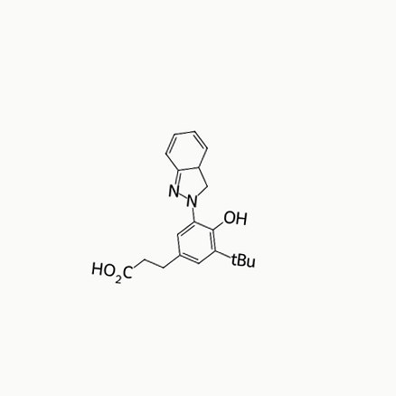 CC(C)(C)c1cc(CCC(=O)O)cc(N2CC3C=CC=CC3=N2)c1O